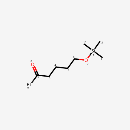 CCC(=O)CCCCO[Si](C)(C)C